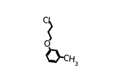 Cc1cccc(OCCCCl)c1